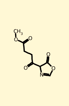 COC(=O)CCC(=O)C1N=COC1=O